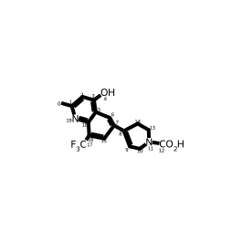 Cc1cc(O)c2cc(C3=CCN(C(=O)O)CC3)cc(C(F)(F)F)c2n1